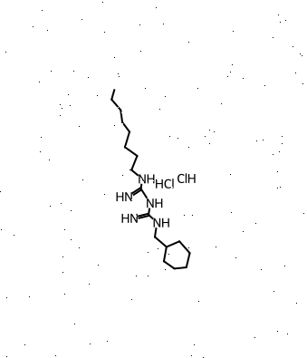 CCCCCCCCNC(=N)NC(=N)NCC1CCCCC1.Cl.Cl